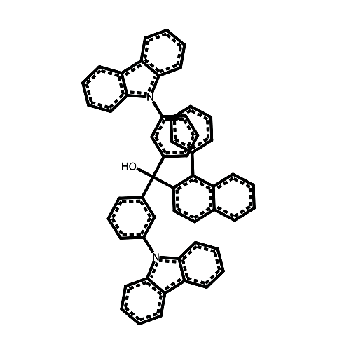 OC(c1cccc(-n2c3ccccc3c3ccccc32)c1)(c1cccc(-n2c3ccccc3c3ccccc32)c1)c1ccc2ccccc2c1-c1ccccc1